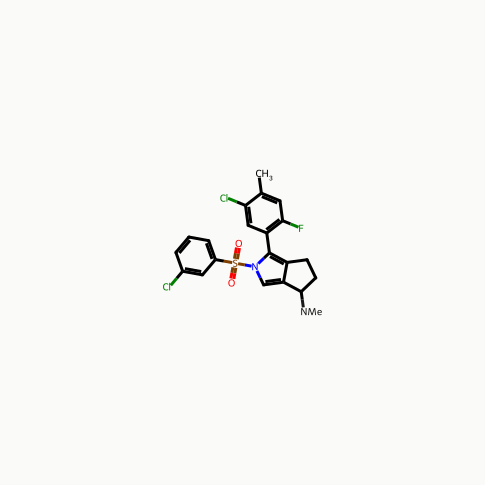 CNC1CCc2c1cn(S(=O)(=O)c1cccc(Cl)c1)c2-c1cc(Cl)c(C)cc1F